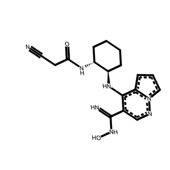 N#CCC(=O)N[C@@H]1CCCC[C@H]1Nc1c(C(=N)NO)cnn2cccc12